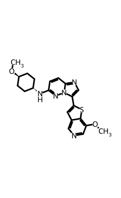 COc1cncc2cc(-c3cnc4ccc(N[C@H]5CC[C@H](OC)CC5)nn34)sc12